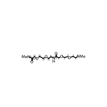 CNCCOCCOCC(=O)NCCOCCOCC(=O)NC